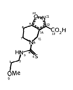 COCCNC(=S)N1CCc2onc(C(=O)O)c2C1